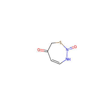 O=C1C=CN[N+](=O)SC1